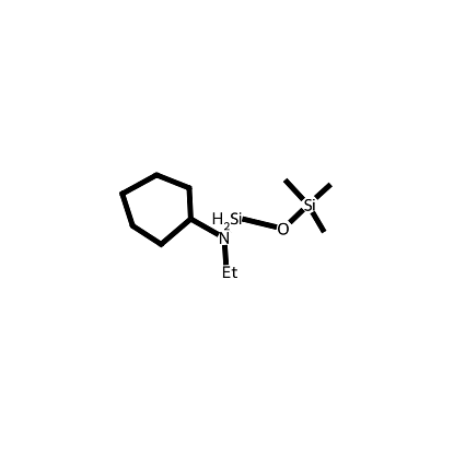 CCN([SiH2]O[Si](C)(C)C)C1CCCCC1